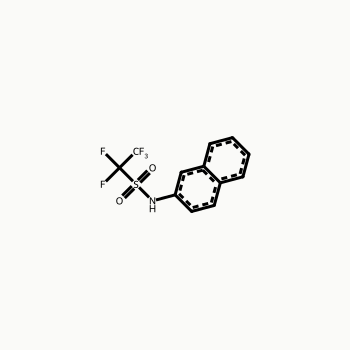 O=S(=O)(Nc1ccc2ccccc2c1)C(F)(F)C(F)(F)F